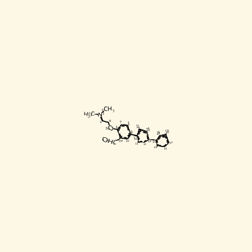 CN(C)CCOc1ccc(-c2ccc(-c3ccccc3)cc2)cc1C=O